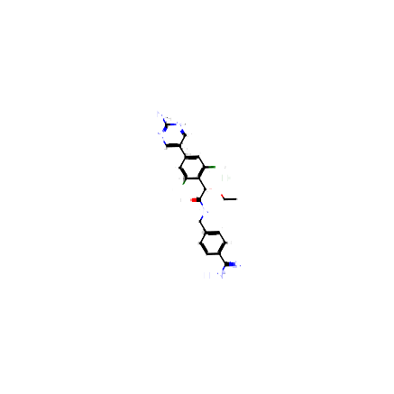 CCO[C@H](C(=O)NCc1ccc(C(=N)N)cc1)c1c(F)cc(-c2cnc(N)nc2)cc1F.Cl